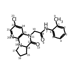 Cc1ccccc1NC(=O)CN1C(=O)C2CCCN2c2ncc(Cl)cc21